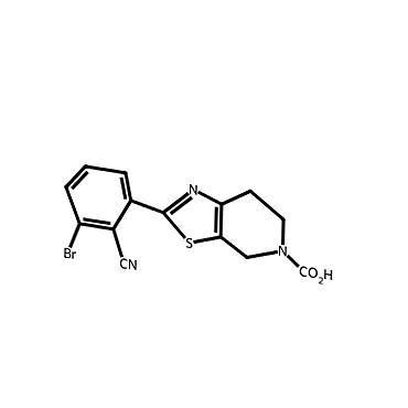 N#Cc1c(Br)cccc1-c1nc2c(s1)CN(C(=O)O)CC2